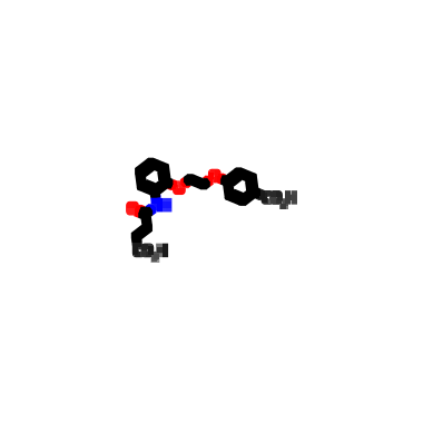 O=C(O)CCC(=O)Nc1ccccc1OCCOc1ccc(C(=O)O)cc1